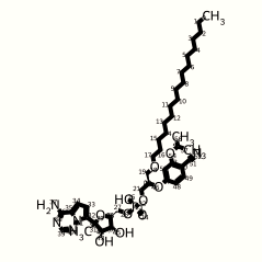 CCCCCCCCCCCCCCCCCCOC[C@H](COP(=O)(O)OC[C@H]1O[C@@](C)(c2ccc3c(N)ncnn23)[C@H](O)[C@@H]1O)Oc1ccc(C#N)c(OC(C)C)c1